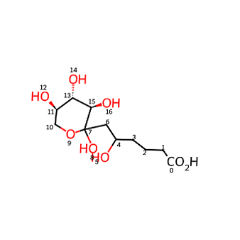 O=C(O)CCCC(O)CC1(O)OC[C@@H](O)[C@H](O)[C@H]1O